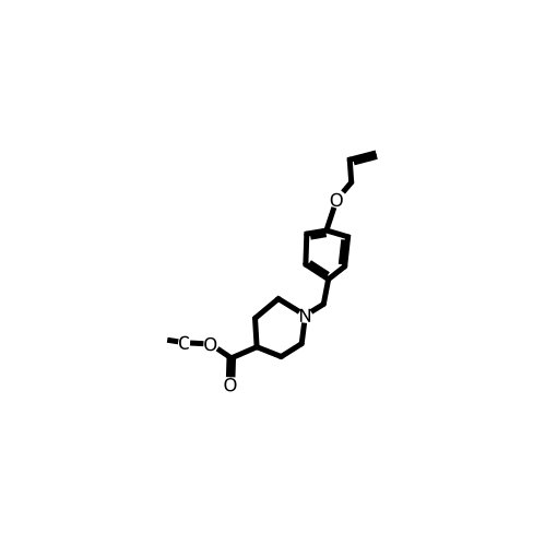 C=CCOc1ccc(CN2CCC(C(=O)OCC)CC2)cc1